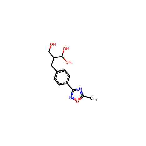 Cc1nc(-c2ccc(CC(CO)C(O)O)cc2)no1